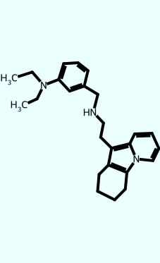 CCN(CC)c1cccc(CNCCc2c3c(n4ccccc24)CCCC3)c1